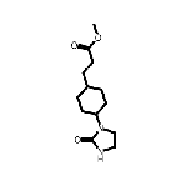 COC(=O)CCC1CCC(N2CCNC2=O)CC1